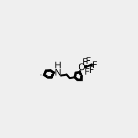 FC(F)(F)C(F)(F)Oc1cccc(CCCNc2cc[c]cc2)c1